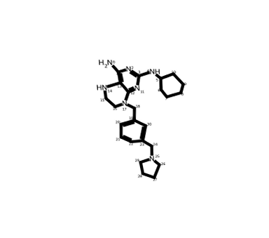 Nc1nc(NC2CCCCC2)nc2c1NCCN2Cc1cccc(CN2CCCC2)c1